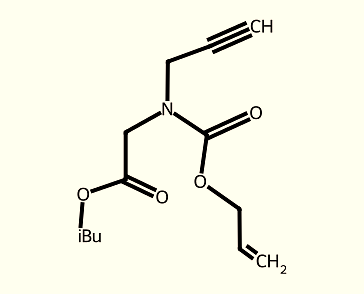 C#CCN(CC(=O)OC(C)CC)C(=O)OCC=C